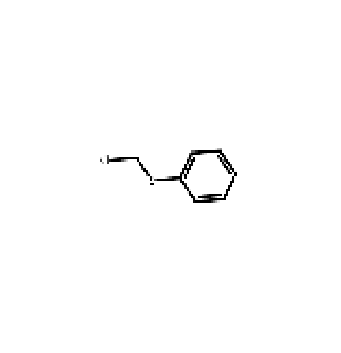 ClCSc1cc[c]cc1